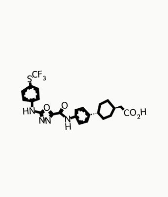 O=C(O)C[C@H]1CC[C@H](c2ccc(NC(=O)c3nnc(Nc4ccc(SC(F)(F)F)cc4)o3)cc2)CC1